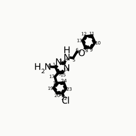 Nc1nc(NCCOc2ccccc2)ncc1Cc1ccc(Cl)cc1